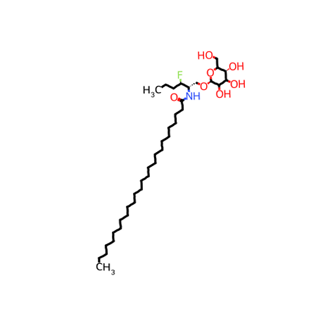 CCCCCCCCCCCCCCCCCCCCCCCCCC(=O)N[C@@H](CO[C@H]1OC(CO)[C@H](O)C(O)C1O)[C@H](F)CCC